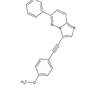 COc1ccc(C#Cc2cnc3ccc(-c4cc[c]cc4)nn23)cc1